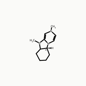 CN1C=CN2C(=C1)N(C)C1CCCC[C@H]12